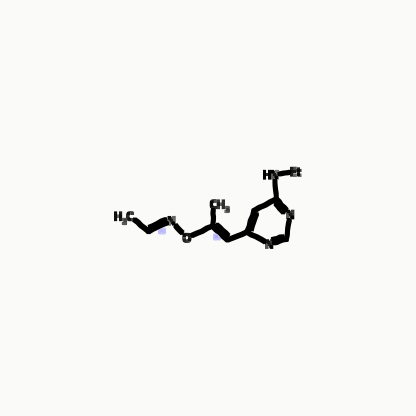 C/C=N/O/C(C)=C/c1cc(NCC)ncn1